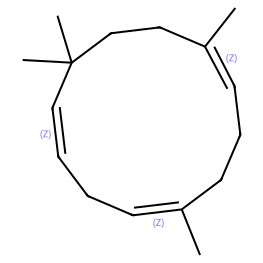 C/C1=C/C/C=C\C(C)(C)CC/C(C)=C\CC1